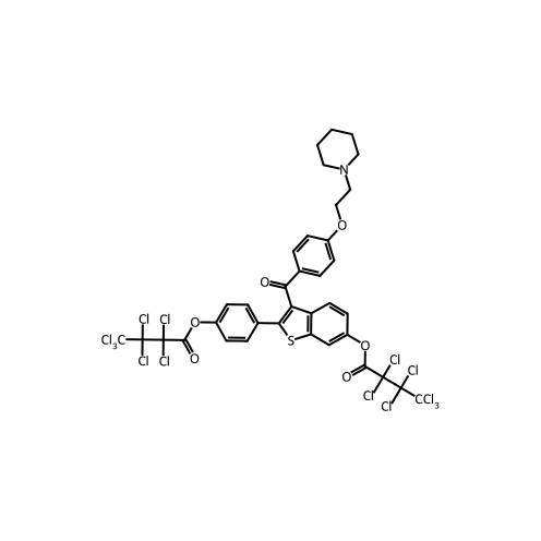 O=C(c1ccc(OCCN2CCCCC2)cc1)c1c(-c2ccc(OC(=O)C(Cl)(Cl)C(Cl)(Cl)C(Cl)(Cl)Cl)cc2)sc2cc(OC(=O)C(Cl)(Cl)C(Cl)(Cl)C(Cl)(Cl)Cl)ccc12